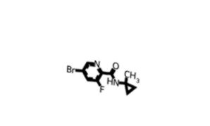 CC1(NC(=O)c2ncc(Br)cc2F)CC1